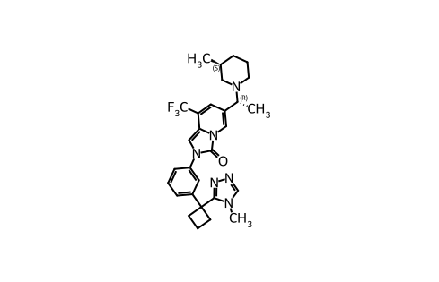 C[C@H]1CCCN([C@H](C)c2cc(C(F)(F)F)c3cn(-c4cccc(C5(c6nncn6C)CCC5)c4)c(=O)n3c2)C1